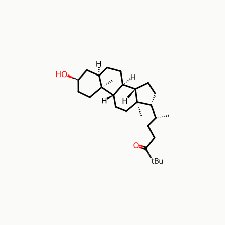 C[C@H](CCC(=O)C(C)(C)C)[C@H]1CC[C@H]2[C@@H]3CC[C@@H]4C[C@H](O)CC[C@]4(C)[C@H]3CC[C@]12C